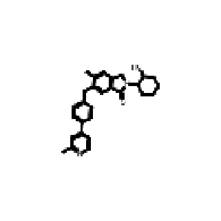 Cc1cc(-c2ccc(Cc3cc4c(cc3C)CN(C3CCCCC3O)C4=O)cc2)ccn1